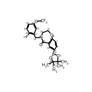 CC1(C)OB(c2ccc3c(c2)C(=O)N(Cc2cc(OC(F)(F)F)ccc2F)CCO3)OC1(C)C